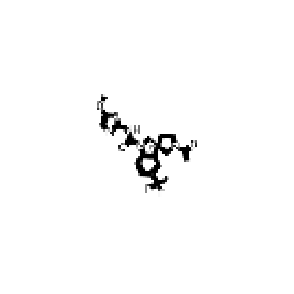 COc1cnc(NC(=O)N2C[C@]3(CCN(C(C)=O)C3)c3cc(C(F)(F)F)ccc32)s1